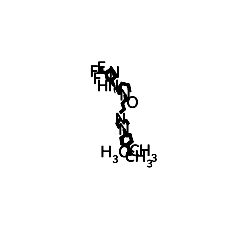 CC(C)(C)c1ccc(N2CCN(CCCC(=O)N3CCC[C@H](Nc4cncc(C(F)(F)F)c4)C3)CC2)cc1